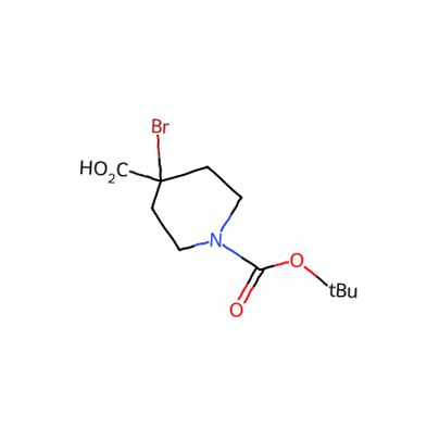 CC(C)(C)OC(=O)N1CCC(Br)(C(=O)O)CC1